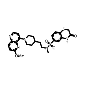 COc1ccc2nccc(N3CCC(CCN(C)S(=O)(=O)c4ccc5c(c4)NC(=O)CS5)CC3)c2n1